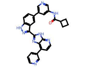 O=C(Nc1cncc(-c2ccc3[nH]nc(-c4nc5c(-c6cccnc6)ccnc5[nH]4)c3c2)c1)C1CCC1